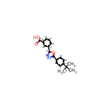 CC(C)(C)c1ccc(-c2nnc(-c3cccc(C(=O)O)c3)o2)cc1